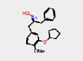 COc1ccc(C/C(Cc2ccccc2)=N\O)cc1OC1CCCC1